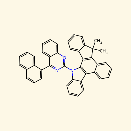 CC1(C)c2ccccc2-c2c1c1ccccc1c1c3ccccc3n(-c3nc(-c4cccc5ccccc45)c4ccccc4n3)c21